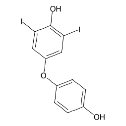 Oc1ccc(Oc2cc(I)c(O)c(I)c2)cc1